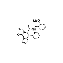 COc1ccccc1CNC(=O)c1c(-c2ccc(F)cc2)c2ccsc2c(=O)n1C